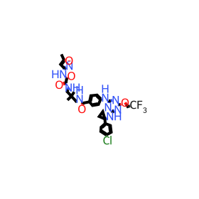 Cc1cc(NC(=O)C(=O)NCC(C)(C)CNC(=O)c2ccc(Nc3nc(NC4(c5ccc(Cl)cc5)CC4)nc(OCC(F)(F)F)n3)cc2)no1